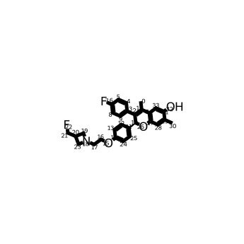 CC1=C(c2ccc(F)cc2)[C@H](c2ccc(OCCN3CC(CF)C3)cc2)Oc2cc(C)c(O)cc21